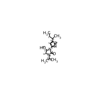 CCC(C)c1cc(N2C(=O)N(C(C)C)CC2O)no1